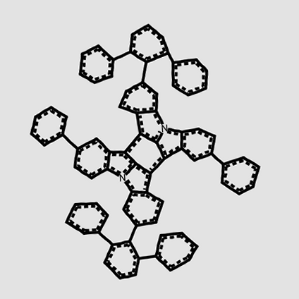 c1ccc(-c2ccc3c(c2)c2c4c5ccc(-c6c(-c7ccccc7)cccc6-c6ccccc6)cc5n5c6ccc(-c7ccccc7)cc6c(c6c7ccc(-c8c(-c9ccccc9)cccc8-c8ccccc8)cc7n3c26)c45)cc1